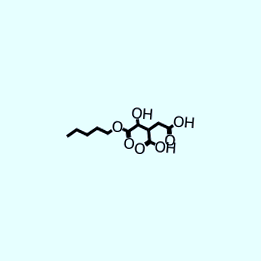 CCCCCOC(=O)C(O)C(CC(=O)O)C(=O)O